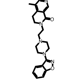 Cc1cncc2c1CCN(CCN1CCN(c3noc4ccccc34)CC1)C2=O